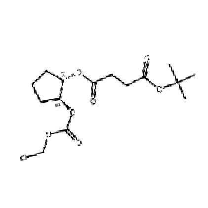 CC(C)(C)OC(=O)CCC(=O)O[C@H]1CCC[C@@H]1OC(=O)OCCl